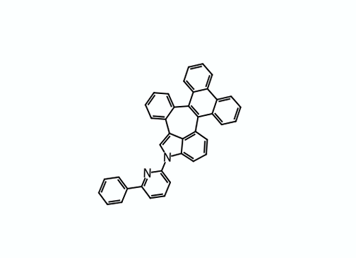 c1ccc(-c2cccc(-n3cc4c5c(cccc53)-c3c(c5ccccc5c5ccccc35)-c3ccccc3-4)n2)cc1